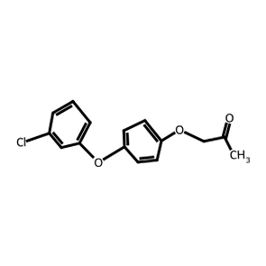 CC(=O)COc1ccc(Oc2cccc(Cl)c2)cc1